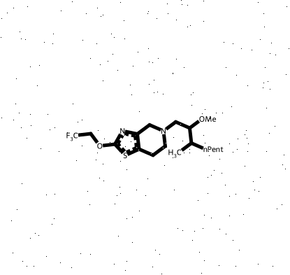 CCCCCC(C)C(CN1CCc2sc(OCC(F)(F)F)nc2C1)OC